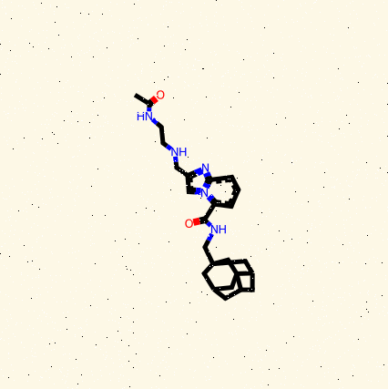 CC(=O)NCCNCc1cn2c(C(=O)NCC34CC5CC6CC(C3)C6(C5)C4)cccc2n1